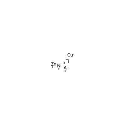 [Al].[Cu].[Ni].[Ti].[Zn]